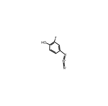 [N-]=[N+]=Nc1ccc(O)c(F)c1